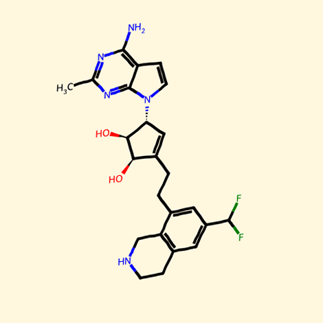 Cc1nc(N)c2ccn([C@@H]3C=C(CCc4cc(C(F)F)cc5c4CNCC5)[C@@H](O)[C@H]3O)c2n1